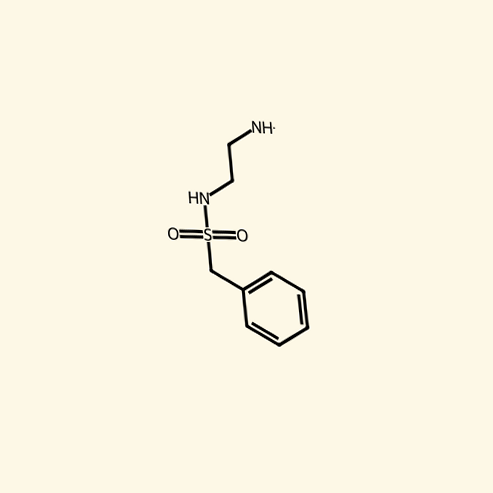 [NH]CCNS(=O)(=O)Cc1ccccc1